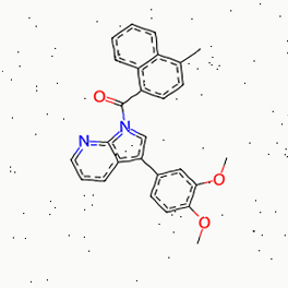 COc1ccc(-c2cn(C(=O)c3ccc(C)c4ccccc34)c3ncccc23)cc1OC